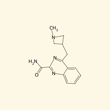 CN1CC(Cc2nc(C(N)=O)nc3ccccc23)C1